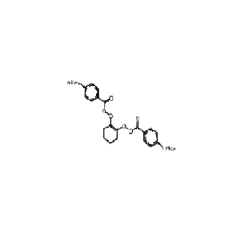 CCCCCCc1ccc(C(=O)OOC2=C(OOC(=O)c3ccc(CCCCCC)cc3)CCCC2)cc1